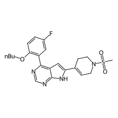 CCCCOc1ccc(F)cc1-c1ncnc2[nH]c(C3=CCN(S(C)(=O)=O)CC3)cc12